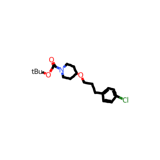 CC(C)(C)OC(=O)N1CCC(OCCCc2ccc(Cl)cc2)CC1